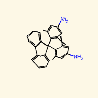 Cc1cc(N)cc(C)c1C1(c2c(C)cc(N)cc2C)c2ccccc2-c2ccccc21